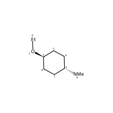 CCO[C@H]1CC[C@H](NC)CC1